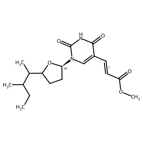 CCC(C)C(C)C1CC[C@H](n2cc(/C=C/C(=O)OC)c(=O)[nH]c2=O)O1